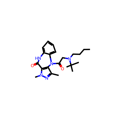 CCCCN(CC(=O)N1c2ccccc2NC(=O)c2c1c(C)nn2C)C(C)(C)C